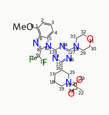 COc1cccc2c1nc(C(F)F)n2-c1nc(C2CCCN(S(C)(=O)=O)C2)nc(N2CCOCC2)n1